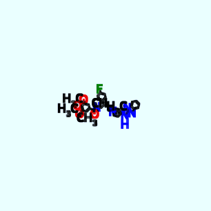 COc1cc(C(=O)N(C)CC(CCN2CCC(Nc3nc4ccccc4n3C)CC2)c2ccc(F)cc2)cc(OC)c1OC